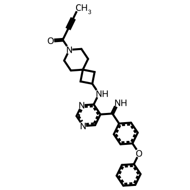 CC#CC(=O)N1CCC2(CC1)CC(Nc1ncncc1C(=N)c1ccc(Oc3ccccc3)cc1)C2